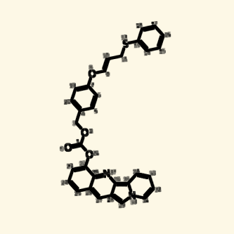 O=C(OCc1ccc(OC=CCSc2ccccc2)cc1)Oc1cccc2cc3cn4ccccc4c3nc12